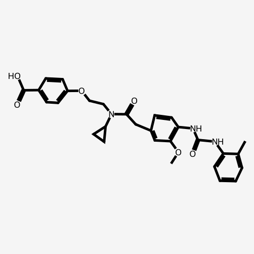 COc1cc(CC(=O)N(CCOc2ccc(C(=O)O)cc2)C2CC2)ccc1NC(=O)Nc1ccccc1C